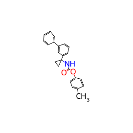 Cc1ccc(OC(=O)NC2(c3cccc(-c4ccccc4)c3)CC2)cc1